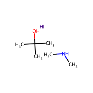 CC(C)(C)O.CNC.I